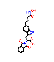 COC(=O)[C@H](Cc1c[nH]c2cc(CCCC(=O)NO)ccc12)N1C(=O)c2ccccc2C1=O